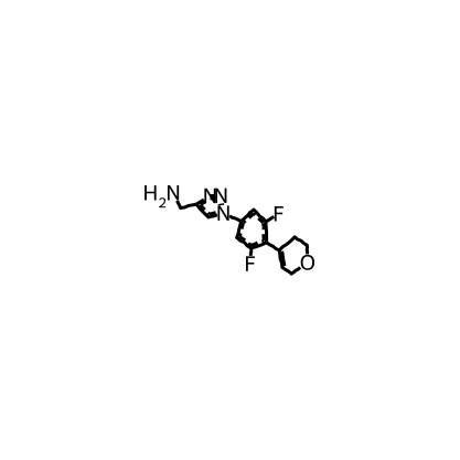 NCc1cn(-c2cc(F)c(C3=CCOCC3)c(F)c2)nn1